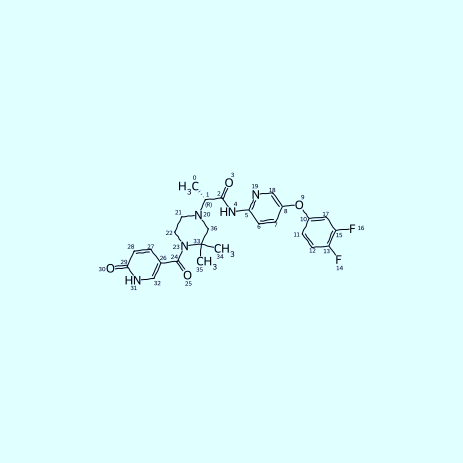 C[C@H](C(=O)Nc1ccc(Oc2ccc(F)c(F)c2)cn1)N1CCN(C(=O)c2ccc(=O)[nH]c2)C(C)(C)C1